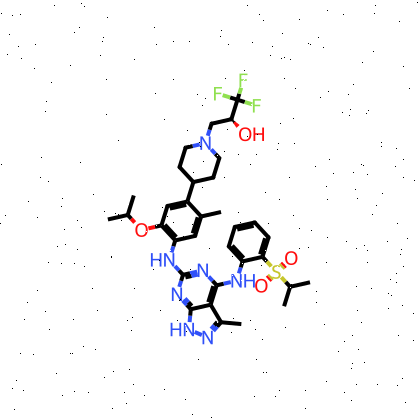 Cc1cc(Nc2nc(Nc3ccccc3S(=O)(=O)C(C)C)c3c(C)n[nH]c3n2)c(OC(C)C)cc1C1CCN(C[C@H](O)C(F)(F)F)CC1